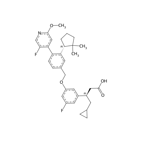 COc1cc(-c2ccc(COc3cc(F)cc([C@@H](CC(=O)O)CC4CC4)c3)cc2[C@@H]2CCCC2(C)C)c(F)cn1